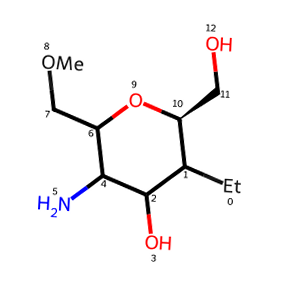 CCC1C(O)C(N)C(COC)O[C@H]1CO